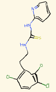 S=C(NCCc1c(Cl)ccc(Cl)c1Cl)Nc1ccccn1